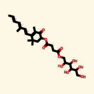 C/C=C/C=C(C)/C=C/C1=C(C)C(=O)C(OC(=O)CCC(=O)OCC(O)C(O)C(O)C(O)CO)CC1(C)C